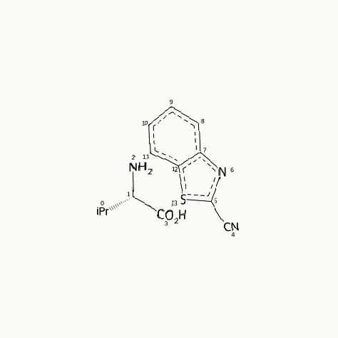 CC(C)[C@H](N)C(=O)O.N#Cc1nc2ccccc2s1